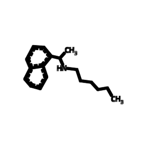 CCCCCCNC(C)c1cccc2ccccc12